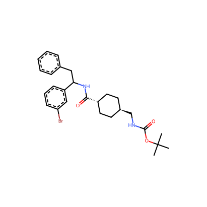 CC(C)(C)OC(=O)NC[C@H]1CC[C@H](C(=O)NC(Cc2ccccc2)c2cccc(Br)c2)CC1